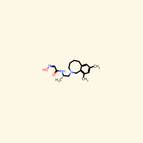 Cc1cc(C)c2c(c1)CCCCN(C[C@H](C)NC(=O)/C=N\O)C2